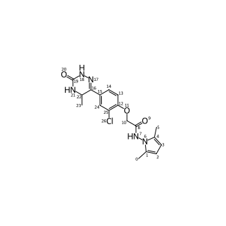 Cc1ccc(C)n1NC(=O)COc1ccc(C2=NNC(=O)NC2C)cc1Cl